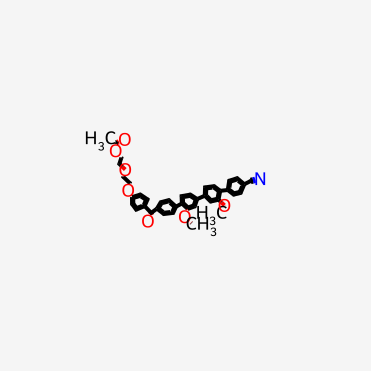 COc1cc(-c2ccc(-c3ccc(C(=O)c4ccc(OCCOCCOC(C)=O)cc4)cc3)c(OC)c2)ccc1-c1ccc(C#N)cc1